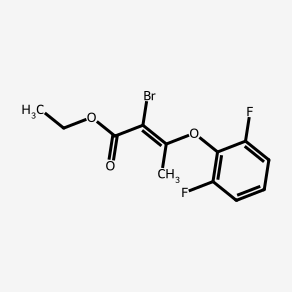 CCOC(=O)C(Br)=C(C)Oc1c(F)cccc1F